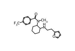 CN(C(=O)c1ccc(C(F)(F)F)cc1)C1CCCCC1NCCc1ccco1